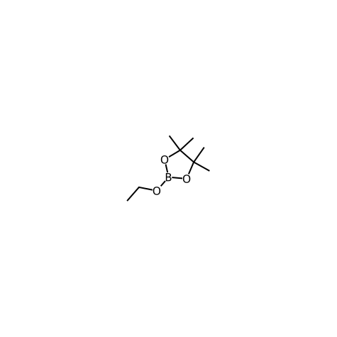 CCOB1OC(C)(C)C(C)(C)O1